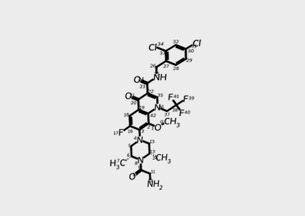 COc1c(N2C[C@@H](C)N(C(=O)CN)[C@@H](C)C2)c(F)cc2c(=O)c(C(=O)NCc3ccc(Cl)cc3Cl)cn(CC(F)(F)F)c12